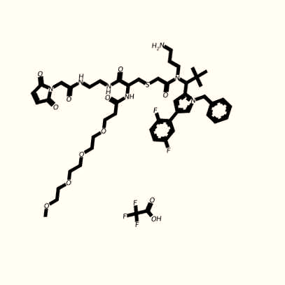 COCCOCCOCCOCCC(=O)NC(CSCC(=O)N(CCCN)C(c1cc(-c2cc(F)ccc2F)cn1Cc1ccccc1)C(C)(C)C)C(=O)NCCNC(=O)CN1C(=O)C=CC1=O.O=C(O)C(F)(F)F